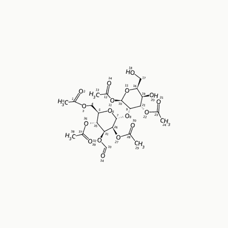 CC(=O)OC[C@H]1O[C@H](O[C@@H]2[C@@H](OC(C)=O)O[C@@H](CO)[C@@H](O)[C@@H]2OC(C)=O)[C@@H](OC(C)=O)[C@@H](OC=O)[C@@H]1OC(C)=O